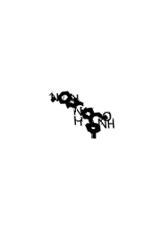 Cc1ccc2c(c1)NC(=O)Cc1ccc(Nc3cc4c(nc3C)CC[C@@H](N(C)C)C4)cc1-2